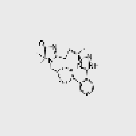 CC=CCC1=NC(=O)C(C)(C)N1Cc1ccc(-c2ccccc2-c2nnn[nH]2)cc1